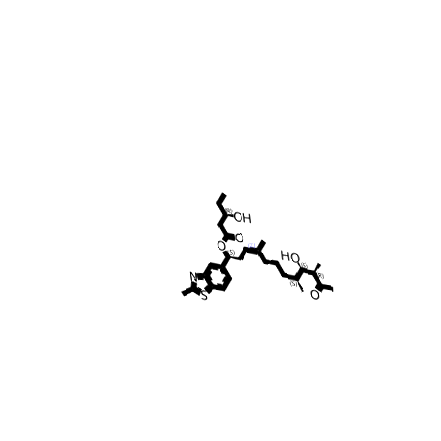 CC[C@@H](O)CC(=O)O[C@@H](C/C=C(/C)CCC[C@H](C)[C@H](O)[C@@H](C)C(C)=O)c1ccc2sc(C)nc2c1